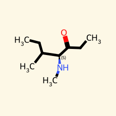 CCC(=O)[C@@H](NC)C(C)CC